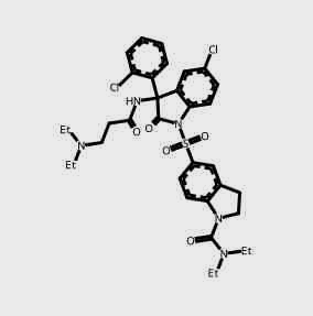 CCN(CC)CCC(=O)NC1(c2ccccc2Cl)C(=O)N(S(=O)(=O)c2ccc3c(c2)CCN3C(=O)N(CC)CC)c2ccc(Cl)cc21